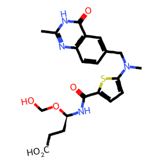 Cc1nc2ccc(CN(C)c3ccc(C(=O)N[C@@H](CCC(=O)O)OCO)s3)cc2c(=O)[nH]1